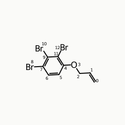 C=CCOc1ccc(Br)c(Br)c1Br